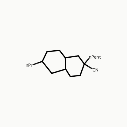 CCCCCC1(C#N)CCC2CC(CCC)CCC2C1